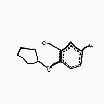 CC(C)c1ccc(OC2CCCC2)c(Cl)c1